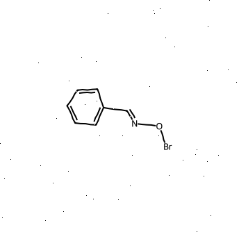 BrON=Cc1ccccc1